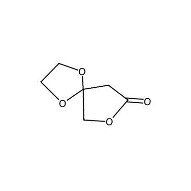 O=C1CC2(CO1)OCCO2